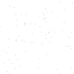 [CH2]C1(C)CC=CO1